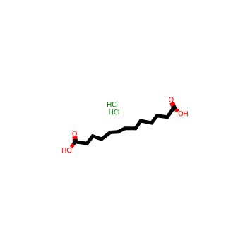 Cl.Cl.O=C(O)CCCCCCCCCCCC(=O)O